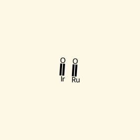 [O]=[Ir].[O]=[Ru]